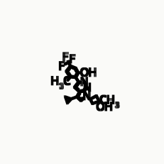 Cc1cc(C(F)(F)F)cc(O)c1-c1cc2c(C3CC3)cn(C3CC(C)(O)C3)c2nn1